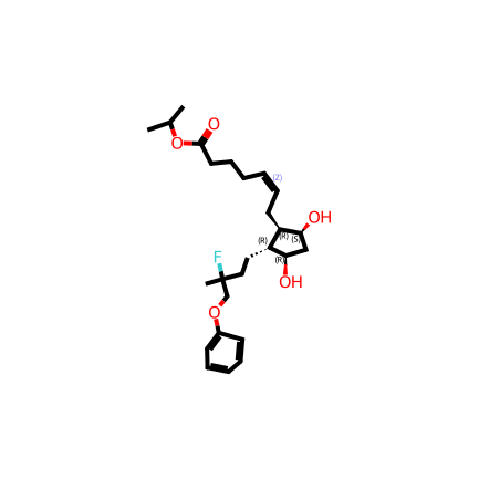 CC(C)OC(=O)CCC/C=C\C[C@@H]1[C@@H](CCC(C)(F)COc2ccccc2)[C@H](O)C[C@@H]1O